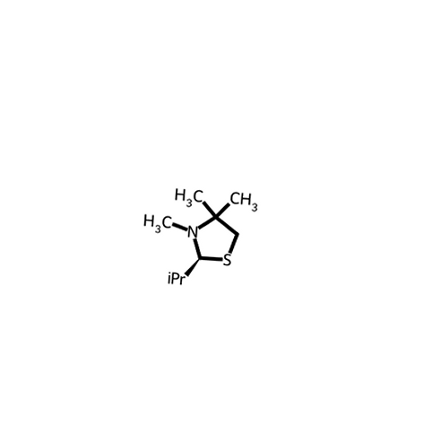 CC(C)[C@@H]1SCC(C)(C)N1C